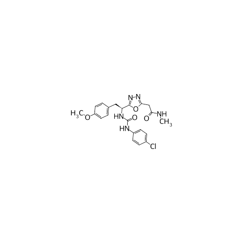 CNC(=O)Cc1nnc([C@H](Cc2ccc(OC)cc2)NC(=O)Nc2ccc(Cl)cc2)o1